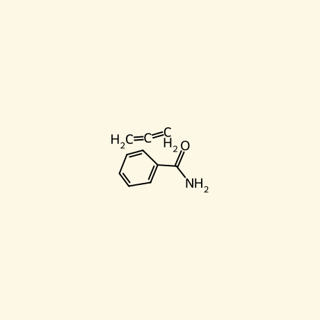 C=C=C.NC(=O)c1ccccc1